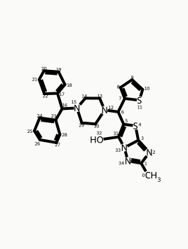 Cc1nc2sc(C(c3cccs3)N3CCN(C(c4ccccc4)c4ccccc4)CC3)c(O)n2n1